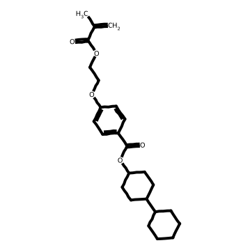 C=C(C)C(=O)OCCOc1ccc(C(=O)OC2CCC(C3CCCCC3)CC2)cc1